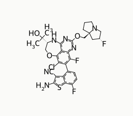 CC(C)(O)[C@H]1COc2c(Cl)c(-c3ccc(F)c4sc(N)c(C#N)c34)c(F)c3nc(OC[C@@]45CCCN4C[C@H](F)C5)nc(c23)N1